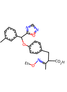 CCON=C(C)C(Cc1ccc(OC(c2cccc(C)c2)c2ncno2)cc1)C(=O)O